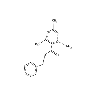 Cc1cc(N)c(C(=O)OCc2ccccc2)c(C)n1